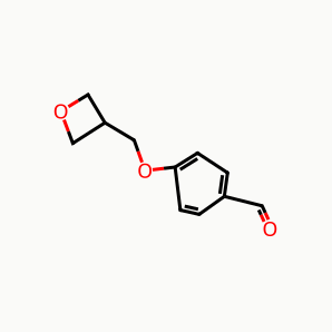 O=Cc1ccc(OCC2COC2)cc1